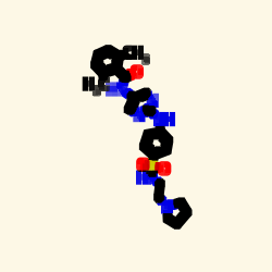 Cc1cccc(C)c1C(=O)Nc1cnc(Nc2ccc(S(=O)(=O)NCCN3CCCC3)cc2)nc1